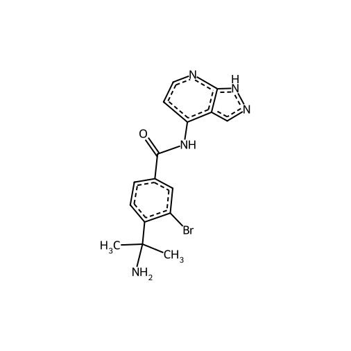 CC(C)(N)c1ccc(C(=O)Nc2ccnc3[nH]ncc23)cc1Br